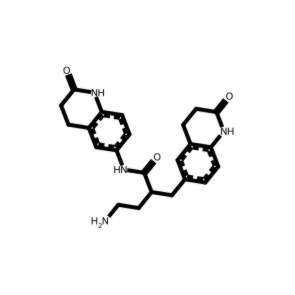 NCCC(Cc1ccc2c(c1)CCC(=O)N2)C(=O)Nc1ccc2c(c1)CCC(=O)N2